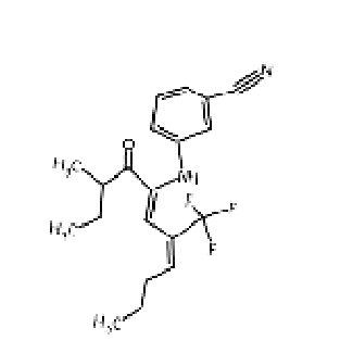 CCC/C=C(\C=C(/Nc1cccc(C#N)c1)C(=O)C(C)CC)C(F)(F)F